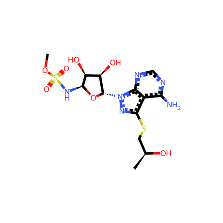 COS(=O)(=O)N[C@@H]1O[C@@H](n2nc(SC[C@H](C)O)c3c(N)ncnc32)[C@H](O)[C@@H]1O